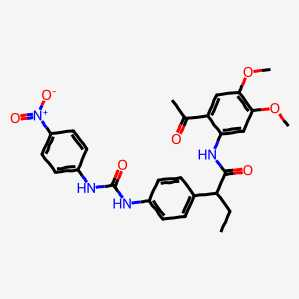 CCC(C(=O)Nc1cc(OC)c(OC)cc1C(C)=O)c1ccc(NC(=O)Nc2ccc([N+](=O)[O-])cc2)cc1